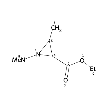 CCOC(=O)C1C(C)N1NC